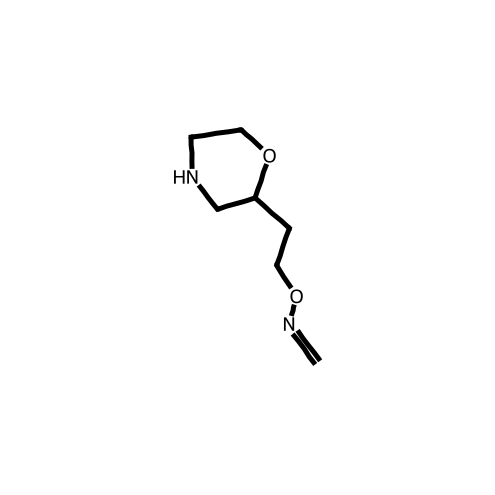 C=NOCCC1CNCCO1